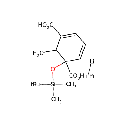 CC1C(C(=O)O)=CC=CC1(O[Si](C)(C)C(C)(C)C)C(=O)O.[Li][CH2]CC